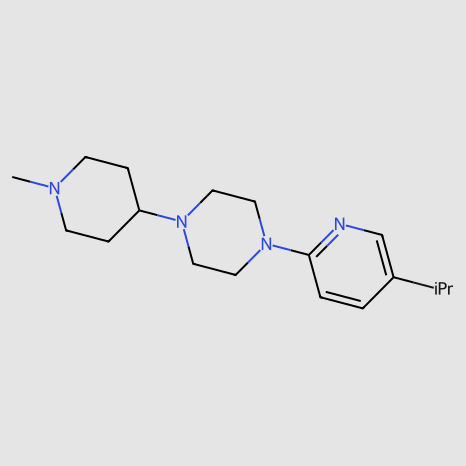 CC(C)c1ccc(N2CCN(C3CCN(C)CC3)CC2)nc1